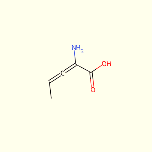 CC=C=C(N)C(=O)O